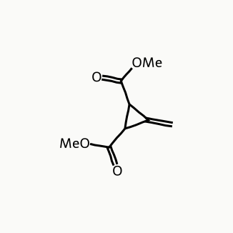 C=C1C(C(=O)OC)C1C(=O)OC